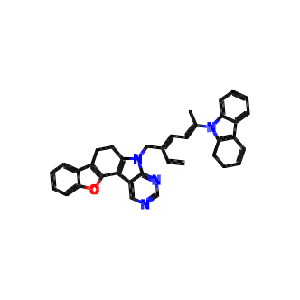 C=C/C(=C\C=C(/C)n1c2c(c3ccccc31)C=CCC2)Cn1c2c(c3cncnc31)-c1oc3ccccc3c1CC2